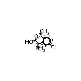 COc1ccc(Cl)cc1C(N)C(=O)O